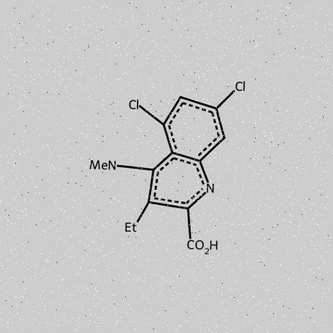 CCc1c(C(=O)O)nc2cc(Cl)cc(Cl)c2c1NC